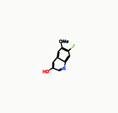 COc1cc2cc(O)cnc2cc1F